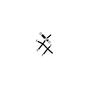 CC(F)(F)C(F)(F)S(C)(=O)=O